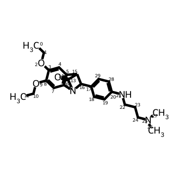 CCOc1cc2c(cc1OCC)N1C(=O)C2C1c1ccc(NCCCN(C)C)cc1